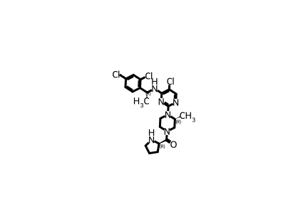 C[C@@H]1CN(C(=O)[C@H]2CCCN2)CCN1c1ncc(Cl)c(N[C@H](C)c2ccc(Cl)cc2Cl)n1